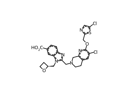 O=C(O)c1ccc2nc(CN3CCc4cc(Cl)c(OCc5ncc(Cl)s5)nc4C3)n(C[C@@H]3CCO3)c2c1